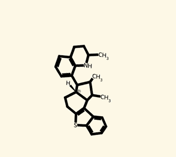 CC1CCc2cccc(C3C(C)C(C)C4c5c(sc6ccccc56)CC[C@H]34)c2N1